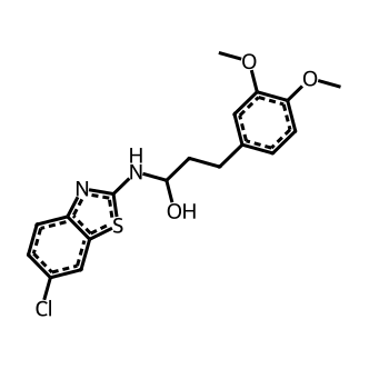 COc1ccc(CCC(O)Nc2nc3ccc(Cl)cc3s2)cc1OC